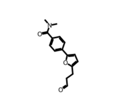 CN(C)C(=O)c1ccc(-c2ccc(CCC=O)o2)cc1